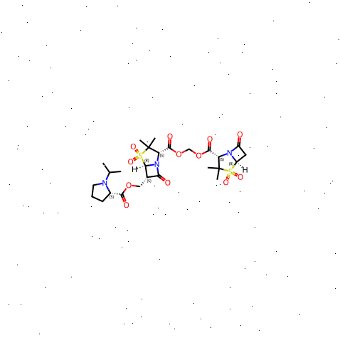 CC(C)N1CCC[C@H]1C(=O)OC[C@H]1C(=O)N2[C@@H](C(=O)OCOC(=O)[C@@H]3N4C(=O)C[C@H]4S(=O)(=O)C3(C)C)C(C)(C)S(=O)(=O)[C@H]12